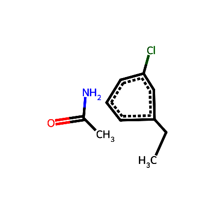 CC(N)=O.CCc1cccc(Cl)c1